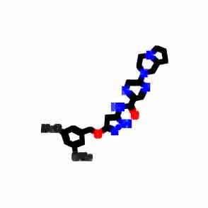 COc1cc(COc2cc(NC(=O)c3cnc(N4CCN5CCCC5C4)cn3)[nH]n2)cc(OC)c1